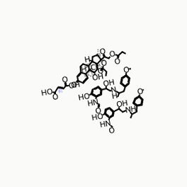 CCC(=O)OCC(=O)[C@@]1(OC(=O)CC)[C@@H](C)C[C@H]2[C@@H]3CCC4=CC(=O)C=C[C@]4(C)[C@@]3(Cl)[C@@H](O)C[C@@]21C.COc1ccc(CC(C)NCC(O)c2ccc(O)c(NC=O)c2)cc1.COc1ccc(CC(C)NCC(O)c2ccc(O)c(NC=O)c2)cc1.O=C(O)/C=C/C(=O)O